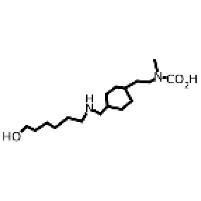 CN(CCC1CCC(CNCCCCCCO)CC1)C(=O)O